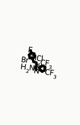 Cl.Nc1nc2cc(C(F)(F)F)cc(C(F)(F)F)c2n1CCc1ccc(F)cc1Br